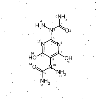 NC(=O)N(N)c1nc(O)c(N(N)C(N)=O)c(O)n1